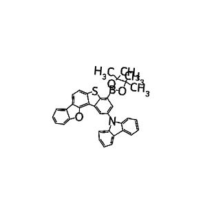 CC1(C)OB(c2cc(-n3c4ccccc4c4ccccc43)cc3c2sc2ccc4c5ccccc5oc4c23)OC1(C)C